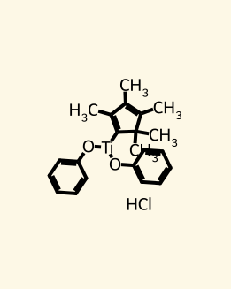 CC1=C(C)C(C)(C)[C]([Ti]([O]c2ccccc2)[O]c2ccccc2)=C1C.Cl